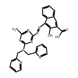 Nc1nc(/N=N/c2c(O)c(C(=O)O)cc3ccccc23)nc(N(Cc2ccccn2)Cc2ccccn2)n1